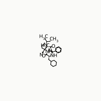 CCC(CC)N1CCC(C#N)(NC(=O)[C@H](CC2CCCCC2)N/C(=N/C(C)=O)c2ccccc2)C1